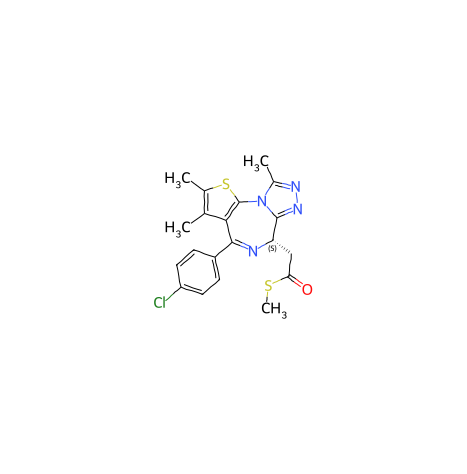 CSC(=O)C[C@@H]1N=C(c2ccc(Cl)cc2)c2c(sc(C)c2C)-n2c(C)nnc21